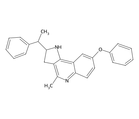 Cc1nc2ccc(Oc3ccccc3)cc2c2c1CC(C(C)c1ccccc1)N2